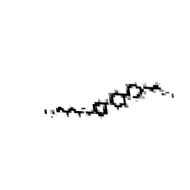 C=CCCCOCc1ccc([C@H]2CC[C@H]([C@H]3CC[C@H](CC=CC)CC3)CC2)cc1